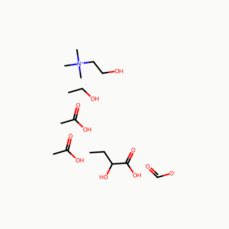 CC(=O)O.CC(=O)O.CCC(O)C(=O)O.CCO.C[N+](C)(C)CCO.O=C[O-]